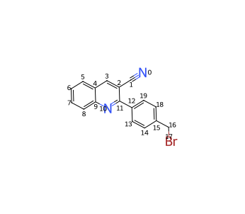 N#Cc1cc2ccccc2nc1-c1ccc(CBr)cc1